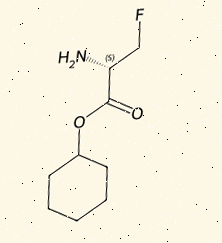 N[C@H](CF)C(=O)OC1CCCCC1